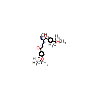 C\C=C/C(=C\C=C\C(=O)c1ccc(OC(C)(C)C)cc1)C(=O)c1ccc(C(C)(C)OC)cc1